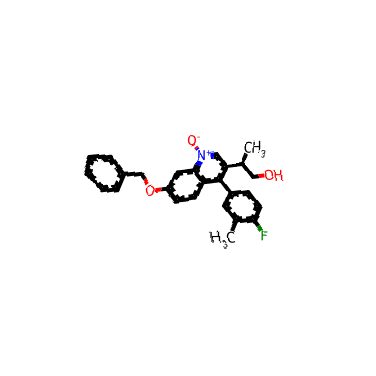 Cc1cc(-c2c(C(C)CO)c[n+]([O-])c3cc(OCc4ccccc4)ccc23)ccc1F